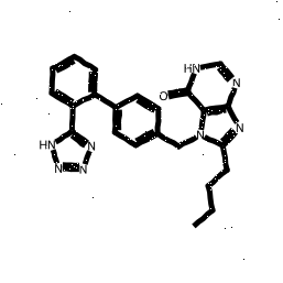 CCCCc1nc2nc[nH]c(=O)c2n1Cc1ccc(-c2ccccc2-c2nnn[nH]2)cc1